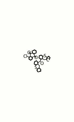 O=C(c1cccc2c1Cc1ccccc1S2)c1cccc2c1Cc1ccccc1S2.O=C1c2ccccc2C(=O)c2c(Cl)cccc21